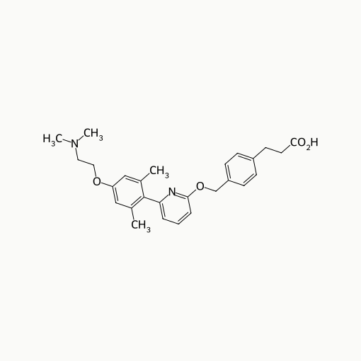 Cc1cc(OCCN(C)C)cc(C)c1-c1cccc(OCc2ccc(CCC(=O)O)cc2)n1